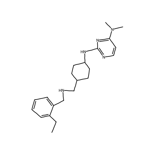 CCc1ccccc1CNCC1CCC(Nc2nccc(N(C)C)n2)CC1